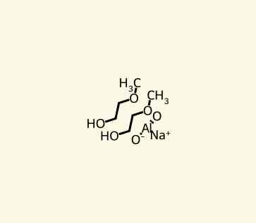 COCCO.COCCO.[Na+].[O]=[Al][O-]